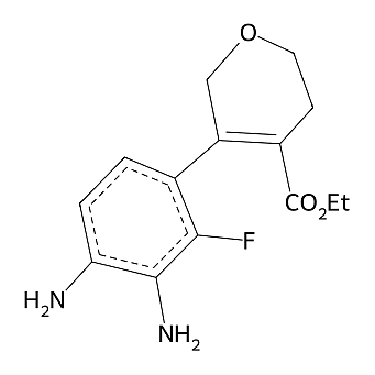 CCOC(=O)C1=C(c2ccc(N)c(N)c2F)COCC1